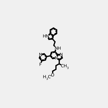 COCCCC(C)c1cnc2c(NCCc3c[nH]c4ccccc34)cc(-c3cncc(F)c3)cn12